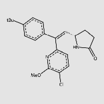 COc1nc(/C(=C\[C@@H]2CCC(=O)N2)c2ccc(C(C)(C)C)cc2)ccc1Cl